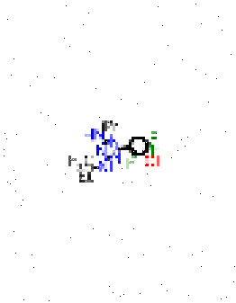 CC[C@@H](Nc1nc(NC(C)C)nc(C2=C(F)C(O)C(F)(F)CC2)n1)C(F)(F)F